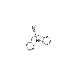 N#CC(N)(Cc1ccccc1)Cc1ccccc1